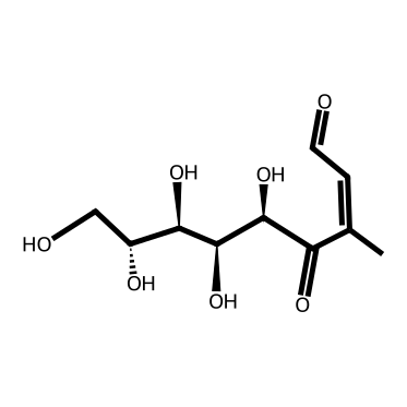 CC(=CC=O)C(=O)[C@H](O)[C@@H](O)[C@H](O)[C@H](O)CO